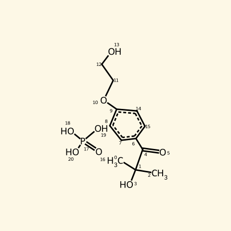 CC(C)(O)C(=O)c1ccc(OCCO)cc1.O=P(O)(O)O